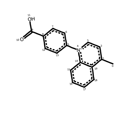 Cc1cc[n+](-c2ccc(C(=O)O)cc2)c2ccccc12